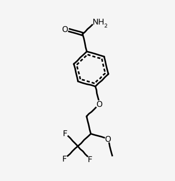 COC(COc1ccc(C(N)=O)cc1)C(F)(F)F